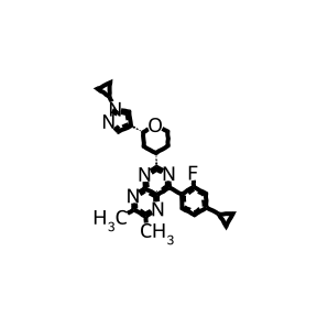 Cc1nc2nc([C@H]3CCO[C@@H](c4cnn(C5CC5)c4)C3)nc(-c3ccc(C4CC4)cc3F)c2nc1C